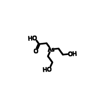 O=C(O)C[As](CCO)CCO